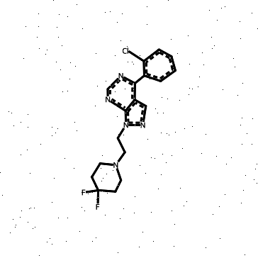 FC1(F)CCN(CCn2ncc3c(-c4ccccc4Cl)ncnc32)CC1